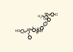 Cc1cc(S(=O)(=O)Nc2ccc(N3CCN(c4cccc(-c5c(C(N)O)ncn5-c5ccc(Cl)cc5)c4)CC3)cc2)ccc1N[C@H](CCN1CCC(O)CC1)CSc1ccccc1